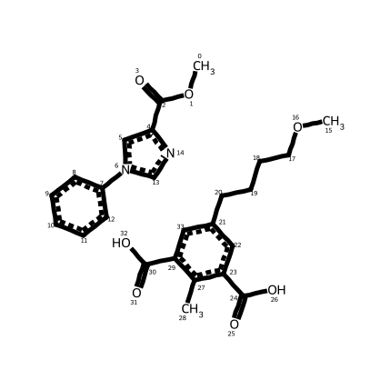 COC(=O)c1cn(-c2ccccc2)cn1.COCCCCc1cc(C(=O)O)c(C)c(C(=O)O)c1